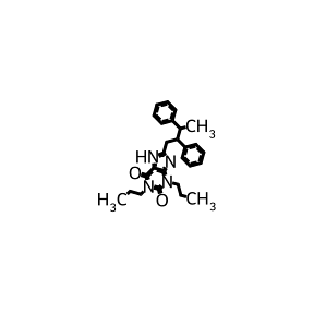 CCCn1c(=O)c2[nH]c(CC(c3ccccc3)C(C)c3ccccc3)nc2n(CCC)c1=O